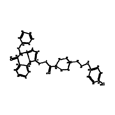 O=C(CCc1nnc2n(Cc3ccccc3)c(=O)c3ccccc3n12)N1CCN(CCOc2ccc(Cl)cc2)CC1